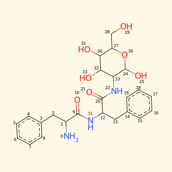 NC(Cc1ccccc1)C(=O)NC(Cc1ccccc1)C(=O)NC1C(O)OC(CO)C(O)C1O